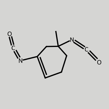 CC1(N=C=O)CCC=C(N=C=O)C1